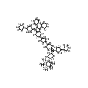 [2H]c1c([2H])c([2H])c(-c2ccc(N(c3ccc(-c4ccccc4)cc3)c3ccc(-c4ccc(-c5ccc6c(c5)c5c7ccccc7c7ccccc7c5n6-c5ccc(-c6ccccc6)cc5)cc4)cc3)cc2)c([2H])c1[2H]